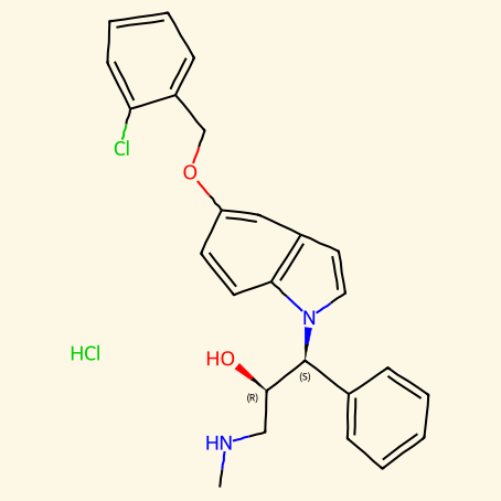 CNC[C@@H](O)[C@H](c1ccccc1)n1ccc2cc(OCc3ccccc3Cl)ccc21.Cl